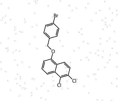 Clc1ccc2c(OCc3ccc(Br)cc3)cccc2c1Cl